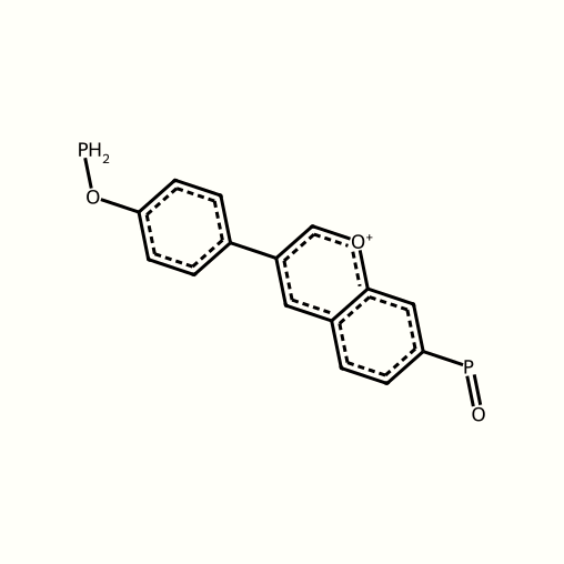 O=Pc1ccc2cc(-c3ccc(OP)cc3)c[o+]c2c1